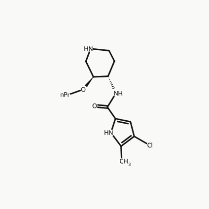 CCCO[C@H]1CNCC[C@@H]1NC(=O)c1cc(Cl)c(C)[nH]1